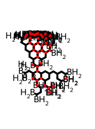 BC(B)/C=C(\CC(B)B)CC(CC(CC(B)B)CC(B)B)CC(CC(CC(CC(B)B)CC(B)B)CC(CC(B)B)CC(B)B)CC(CC(CC(CC(CC(B)B)CC(B)B)CC(CC(B)B)CC(B)B)CC(CC(CC(B)B)CC(B)B)CC(CC(B)B)CC(B)B)CC(CC(CC(CC(B)B)CC(B)B)CC(CC(B)B)CC(B)B)CC(CC(CC(B)B)CC(B)B)[C@@H](CC(B)B)C(B)B